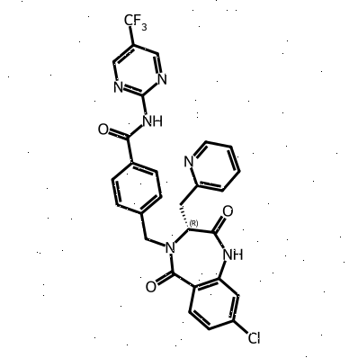 O=C(Nc1ncc(C(F)(F)F)cn1)c1ccc(CN2C(=O)c3ccc(Cl)cc3NC(=O)[C@H]2Cc2ccccn2)cc1